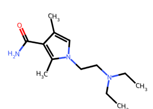 CCN(CC)CCn1cc(C)c(C(N)=O)c1C